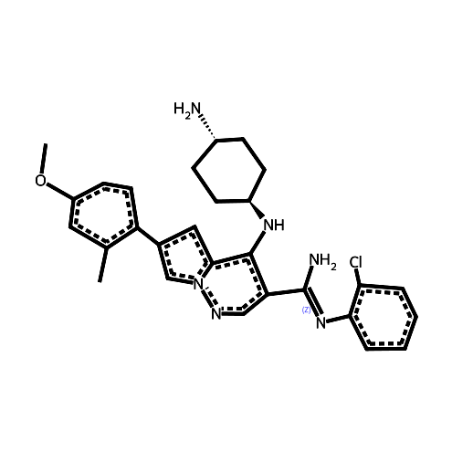 COc1ccc(-c2cc3c(N[C@H]4CC[C@H](N)CC4)c(/C(N)=N/c4ccccc4Cl)cnn3c2)c(C)c1